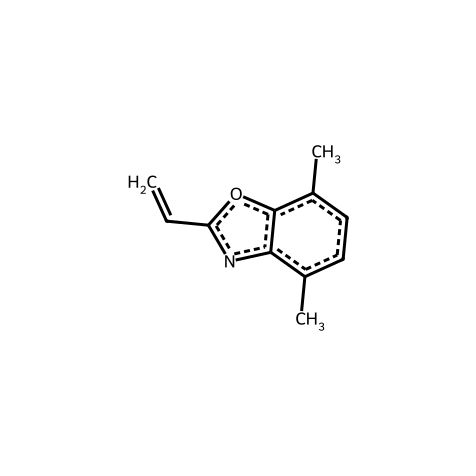 C=Cc1nc2c(C)ccc(C)c2o1